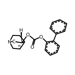 O=C(Oc1ccccc1-c1ccccc1)O[C@H]1CN2CCC1CC2